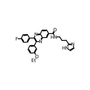 CCOc1cccc(-c2nc3cc(C(=O)NCCCc4ncc[nH]4)ccc3nc2-c2ccc(F)cc2)c1